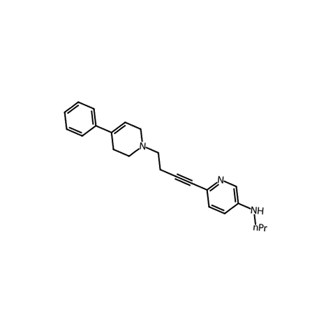 CCCNc1ccc(C#CCCN2CC=C(c3ccccc3)CC2)nc1